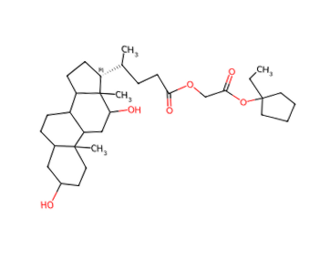 CCC1(OC(=O)COC(=O)CCC(C)[C@H]2CCC3C4CCC5CC(O)CCC5(C)C4CC(O)C32C)CCCC1